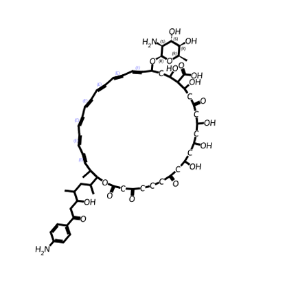 CC1/C=C/C=C/C=C/C=C/C=C/C=C/C=C/C(O[C@@H]2O[C@H](C)[C@H](O)[C@@H](O)[C@@H]2N)CC(O)C(C(=O)O)C(O)CC(=O)CC(O)CC(O)CC(O)CC(=O)CCCC(=O)CC(=O)OC1C(C)CC(C)C(O)CC(=O)c1ccc(N)cc1